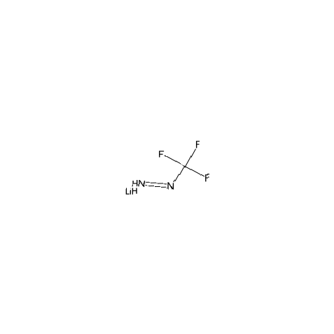 N=NC(F)(F)F.[LiH]